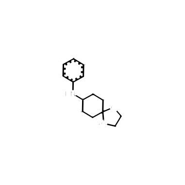 c1ccc(NC2CCC3(CC2)OCCO3)cc1